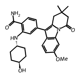 COc1ccc2c(-c3ccc(C(N)=O)c(N[C@H]4CC[C@H](O)CC4)c3)c3n(c2c1)C(=O)CC(C)(C)C3